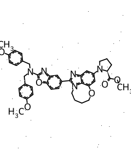 COC(=O)[C@@H]1CCCN1c1cc2c3c(c1)nc(-c1ccc4oc(N(Cc5ccc(OC)cc5)Cc5ccc(OC)cc5)nc4c1)n3CCCCO2